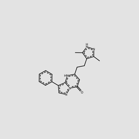 Cc1n[nH]c(C)c1CCc1cc(=O)n2ncc(-c3ccccc3)c2[nH]1